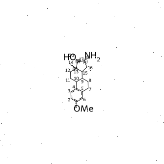 COc1ccc2c(c1)CCC1C2CC[C@@]2(C)C1C[C@H](N)[C@H]2O